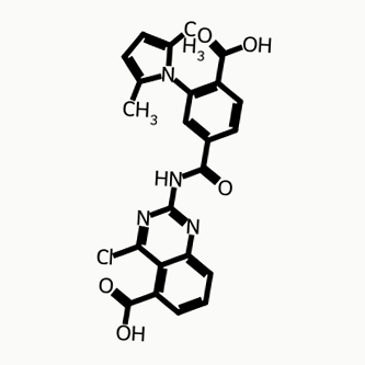 Cc1ccc(C)n1-c1cc(C(=O)Nc2nc(Cl)c3c(C(=O)O)cccc3n2)ccc1C(=O)O